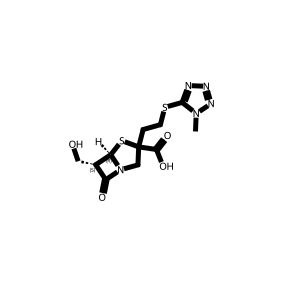 Cn1nnnc1SCCC1(C(=O)O)CN2C(=O)[C@H](CO)[C@H]2S1